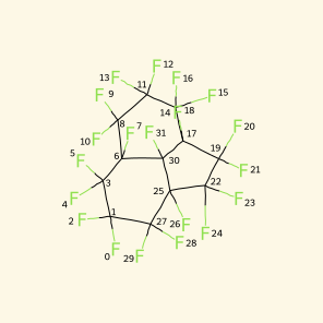 FC1(F)C(F)(F)C2(F)C(F)(F)C(F)(F)C(F)(F)C3(F)C(F)(F)C(F)(F)C(F)(C1(F)F)C23F